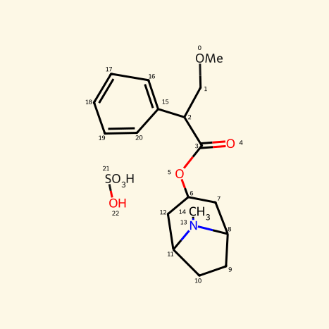 COCC(C(=O)OC1CC2CCC(C1)N2C)c1ccccc1.O=S(=O)(O)O